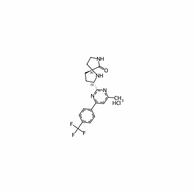 Cc1cc(-c2ccc(C(F)(F)F)cc2)nc([C@@H]2CC[C@]3(CCNC3=O)N2)n1.Cl